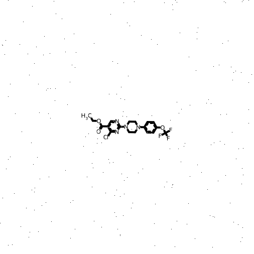 CCOC(=O)c1cnc(N2CCN(c3ccc(OC(F)(F)F)cc3)CC2)nc1Cl